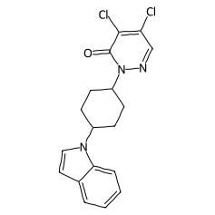 O=c1c(Cl)c(Cl)cnn1C1CCC(n2ccc3ccccc32)CC1